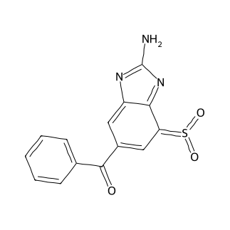 NC1=NC2=CC(C(=O)c3ccccc3)=CC(=S(=O)=O)C2=N1